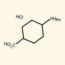 CCCCCCC1CCC(C(=O)O)CC1.Cl